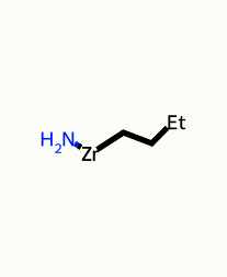 CCC[CH2][Zr][NH2]